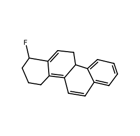 FC1CCCC2=C3C=Cc4ccccc4C3CC=C21